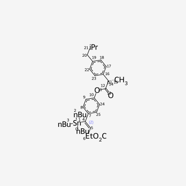 CCC[CH2][Sn]([CH2]CCC)([CH2]CCC)/[C](=C\C(=O)OCC)c1ccc(OC(=O)[C@@H](C)c2ccc(CC(C)C)cc2)cc1